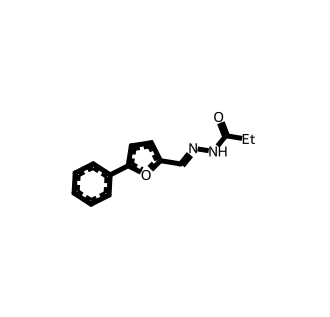 CCC(=O)N/N=C/c1ccc(-c2ccccc2)o1